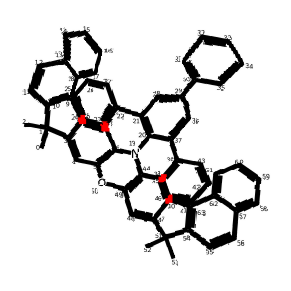 CC1(C)c2cc3c(cc2-c2c1ccc1ccccc21)N(c1c(-c2ccccc2)cc(-c2ccccc2)cc1-c1ccccc1)c1cc2c(cc1O3)C(C)(C)c1ccc3ccccc3c1-2